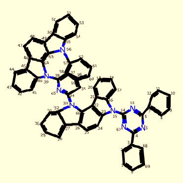 c1ccc(-c2nc(-c3ccccc3)nc(-n3c4ccccc4c4c3ccc3c5ccccc5n(-c5cccc(-n6c7ccccc7c7ccc8c9ccccc9n(-c9ccccc9)c8c76)n5)c34)n2)cc1